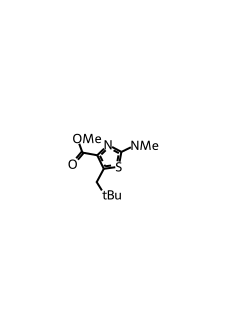 CNc1nc(C(=O)OC)c(CC(C)(C)C)s1